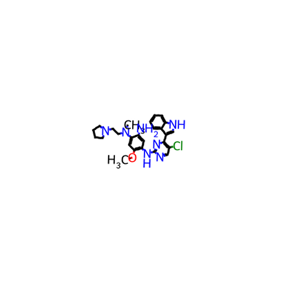 COc1cc(N(C)CCN2CCCC2)c(N)cc1Nc1ncc(Cl)c(-c2c[nH]c3ccccc23)n1